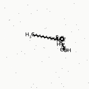 CCCCCCCCCCCCCCC(=S)Nc1ccccc1SCCCC(=O)O